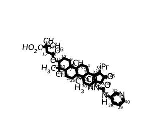 CC(C)C1=C2C3CCC4[C@@]5(C)CC[C@H](OC(=O)CC(C)(C)C(=O)O)C(C)(C)C5CC[C@@]4(C)[C@]3(C)CC[C@@]2(NC(=O)Nc2cccnc2)CC1=O